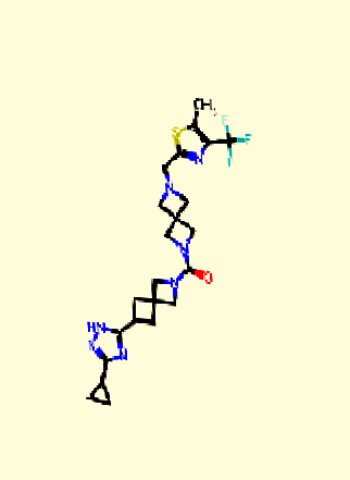 Cc1sc(CN2CC3(C2)CN(C(=O)N2CC4(CC(c5nc(C6CC6)n[nH]5)C4)C2)C3)nc1C(F)(F)F